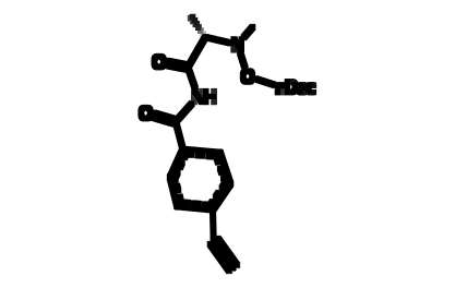 C#Cc1ccc(C(=O)NC(=O)[C@H](C)N(C)OCCCCCCCCCC)cc1